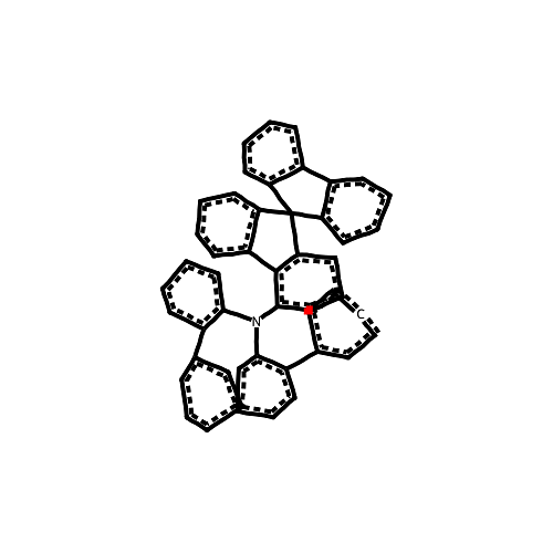 c1ccc(-c2ccccc2N(c2ccccc2-c2ccccc2)c2cccc3c2-c2ccccc2C32c3ccccc3-c3ccccc32)cc1